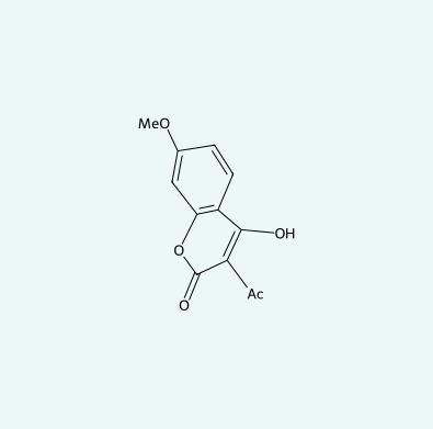 COc1ccc2c(O)c(C(C)=O)c(=O)oc2c1